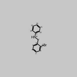 Brc1ccccc1CNc1cc[c]cc1